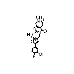 Cc1nc2c(c(=O)n1Cc1cc(-c3ccc(F)c(O)c3)on1)CCN(C)C2